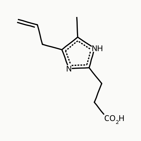 C=CCc1nc(CCC(=O)O)[nH]c1C